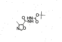 Cc1ncoc1C(=O)NNC(=O)OC(C)(C)C